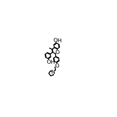 CC1=C(c2cccc(O)c2)C(c2ccc(OCCN3CCCC3)cc2)Oc2ccc(O)cc21